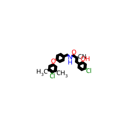 Cc1cc(Oc2ccc(CNC(=O)C(C#N)=Cc3ccc(Cl)cc3O)cc2)cc(C)c1Cl